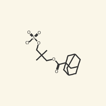 CC(C)(COC(=O)C12CC3CC(CC(C3)C1)C2)COS(=O)(=O)Cl